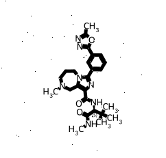 CNC(=O)[C@@H](NC(=O)c1nc(-c2cccc(-c3nnc(C)o3)c2)n2c1CN(C)CCC2)C(C)(C)C